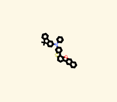 CC1(C)c2ccccc2-c2cc(N(c3ccccc3)c3ccc4c(c3)sc3ccc5c6cc7ccccc7cc6oc5c34)ccc21